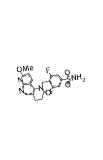 COc1ccc2c3c(cnc2n1)CCC(=O)N3Cc1c(F)cc(S(N)(=O)=O)cc1F